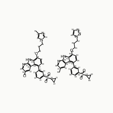 Cc1cn(CCCOc2ccc(-c3cccc(S(=O)(=O)C4CC4)c3)c3c2[nH]c2ncc(Cl)cc23)cn1.Cc1cnc2[nH]c3c(OCCCn4ccnn4)ccc(-c4cccc(S(=O)(=O)C5CC5)c4)c3c2c1